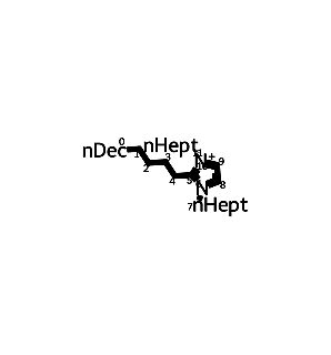 CCCCCCCCCCCCCCc1n(CCCCCCC)cc[n+]1CCCCCCC